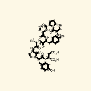 CC[C@H](C)[C@H](NC(=O)[C@H](Cc1ccc(O)cc1)NC(=O)[C@H](CC(C)C)NC(=O)[C@@H]1CCCN1C(=O)[C@@H](N)CS)C(=O)N[C@@H](CO)C(=O)N[C@@H](Cc1ccc(O)cc1)C(=O)N[C@@H](CC(=O)O)C(=O)O